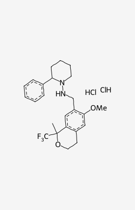 COc1cc2c(cc1CNN1CCCCC1c1ccccc1)C(C)(C(F)(F)F)OCC2.Cl.Cl